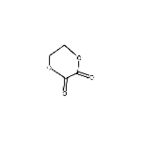 O=C1OCCOC1=O